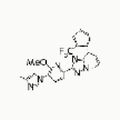 COc1nc(-c2nc3n(n2)CC=C[C@H]3c2ccccc2C(F)(F)F)ccc1-n1cnc(C)c1